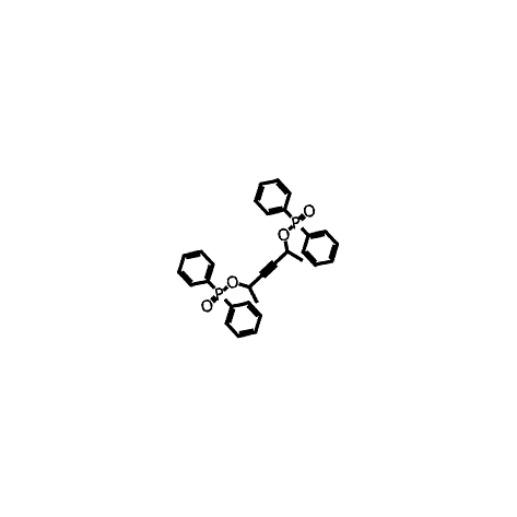 CC(C#CC(C)OP(=O)(c1ccccc1)c1ccccc1)OP(=O)(c1ccccc1)c1ccccc1